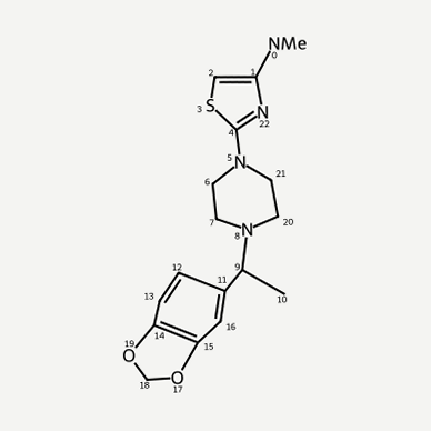 CNc1csc(N2CCN(C(C)c3ccc4c(c3)OCO4)CC2)n1